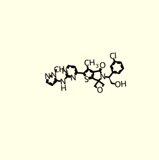 Cc1c(-c2ccnc(Nc3ccnn3C)n2)sc2c1C(=O)N([C@H](CO)c1cccc(Cl)c1)C21COC1